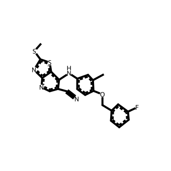 CSc1nc2ncc(C#N)c(Nc3ccc(OCc4cccc(F)c4)c(C)c3)c2s1